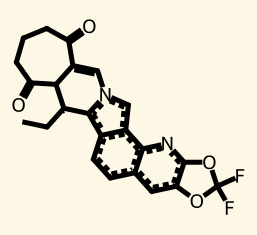 CC[C]1c2c3ccc4cc5c(nc4c3cn2C=C2C(=O)CCCC(=O)C12)OC(F)(F)O5